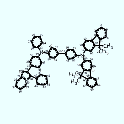 CC1(C)c2ccccc2-c2ccc(N(c3ccc(-c4ccc(N(c5ccccc5)c5ccc(-c6nc7ccccn7c6-c6ccccc6)cc5)cc4)cc3)c3ccc4c(c3)C(C)(C)c3ccccc3-4)cc21